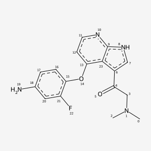 CN(C)CC(=O)c1c[nH]c2nccc(Oc3ccc(N)cc3F)c12